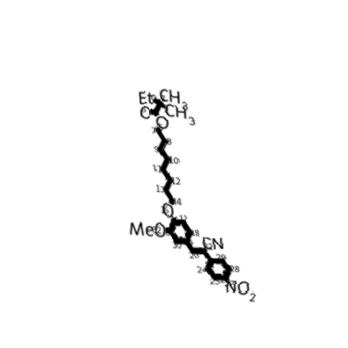 CCC(C)(C)C(=O)OCCCCCCCCOc1ccc(/C=C(\C#N)c2ccc([N+](=O)[O-])cc2)cc1OC